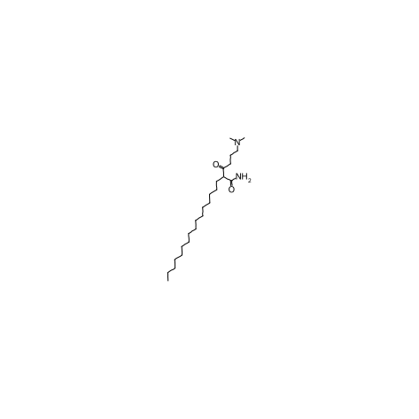 CCCCCCCCCCCCCCCCC(C(N)=O)C(=O)CCCN(C)C